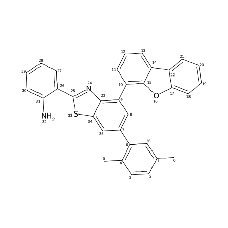 Cc1ccc(C)c(-c2cc(-c3cccc4c3oc3ccccc34)c3nc(-c4ccccc4N)sc3c2)c1